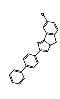 Clc1ccc2c(c1)-c1nc(-c3ccc(-c4ccccc4)cc3)cn1C2